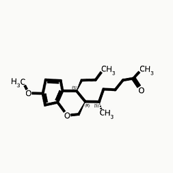 CCC[C@@H]1c2ccc(OC)cc2OC[C@@H]1[C@@H](C)CCCC(C)=O